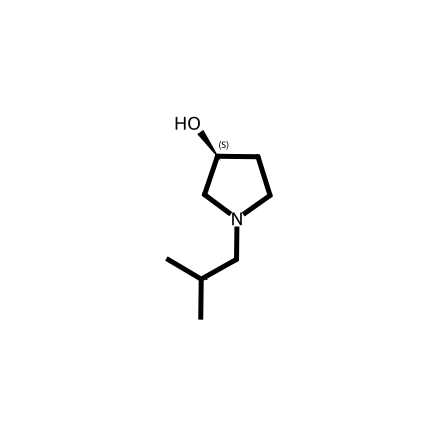 C[C](C)CN1CC[C@H](O)C1